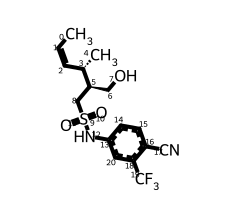 C/C=C\[C@H](C)[C@@H](CO)CS(=O)(=O)Nc1ccc(C#N)c(C(F)(F)F)c1